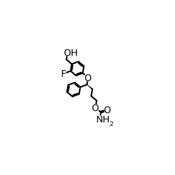 NC(=O)OCCC[C@H](Oc1ccc(CO)c(F)c1)c1ccccc1